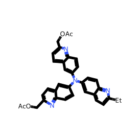 CCc1ccc2cc(N(c3ccc4nc(COC(C)=O)ccc4c3)c3ccc4nc(COC(C)=O)ccc4c3)ccc2n1